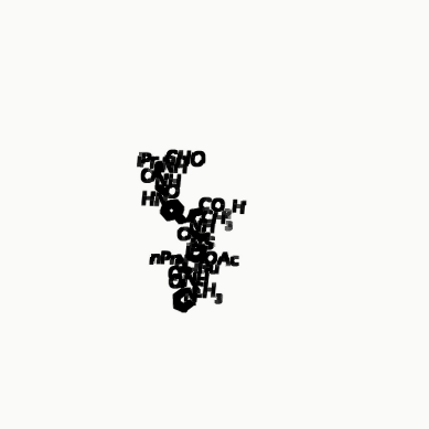 CCCN(C(=O)[C@@H](NC(=O)[C@H]1CCCCN1C)[C@@H](C)CC)[C@H](C[C@@H](OC(C)=O)c1nc(C(=O)N[C@@H](Cc2ccc(NC(=O)CNC(=O)C(NC=O)C(C)C)cc2)CC(C)C(=O)O)cs1)C(C)C